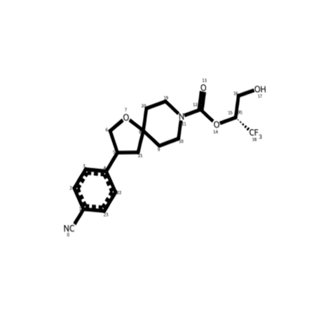 N#Cc1ccc(C2COC3(CCN(C(=O)O[C@H](CO)C(F)(F)F)CC3)C2)cc1